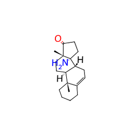 C[C@]12CCCCC1=CC[C@@H]1[C@@H]2CC[C@]2(C)C(=O)CC[C@@]12N